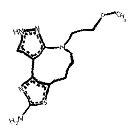 COCCN1CCc2sc(N)nc2-c2c[nH]nc21